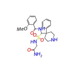 COc1ccccc1C(=O)NC(C1(c2ccccc2)CCNCC1)S(=O)(=O)NCC(N)=O